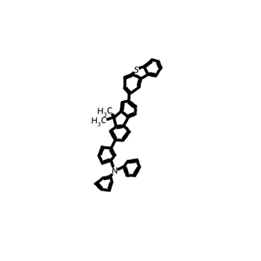 CC1(C)c2cc(-c3cccc(N(c4ccccc4)c4ccccc4)c3)ccc2-c2ccc(-c3ccc4sc5ccccc5c4c3)cc21